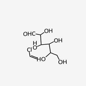 C=CCl.O=CC(O)C(O)C(O)C(O)CO